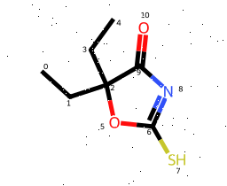 CCC1(CC)OC(S)=NC1=O